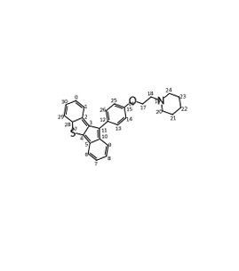 C1=CC2=C3C(=c4ccccc4=C3c3ccc(OCCN4CCCCC4)cc3)SC2C=C1